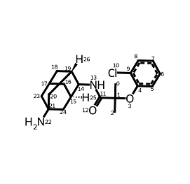 CC(C)(Oc1ccccc1Cl)C(=O)NC1[C@@H]2CC3C[C@H]1CC(N)(C3)C2